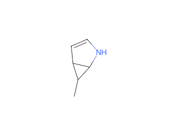 CC1C2C=CNC12